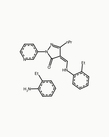 CCCC1=NN(c2cccnc2)C(=O)C1=CNc1ccccc1CC.CCc1ccccc1N